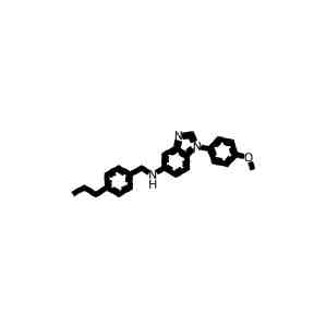 CCCc1ccc(CNc2ccc3c(c2)ncn3-c2ccc(OC)cc2)cc1